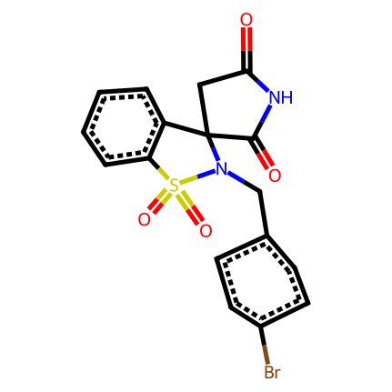 O=C1CC2(C(=O)N1)c1ccccc1S(=O)(=O)N2Cc1ccc(Br)cc1